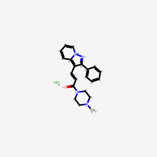 CN1CCN(C(=O)/C=C/c2c(-c3ccccc3)nn3ccccc23)CC1.Cl